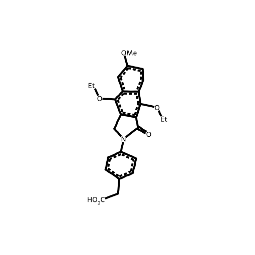 CCOc1c2c(c(OCC)c3ccc(OC)cc13)C(=O)N(c1ccc(CC(=O)O)cc1)C2